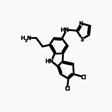 NCCc1cc(Nc2nccs2)cc2c1[nH]c1cc(Cl)c(Cl)cc12